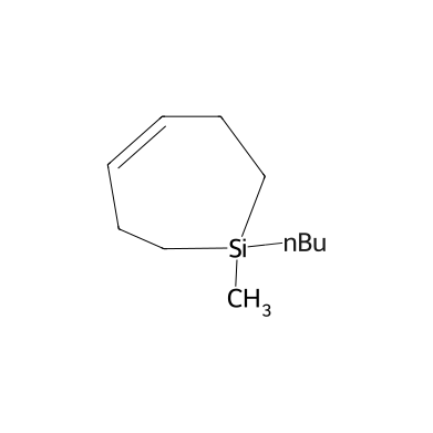 [CH2]CCC[Si]1(C)CCC=CCC1